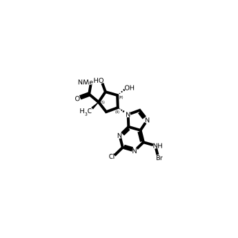 CNC(=O)[C@@]1(C)C[C@@H](n2cnc3c(NBr)nc(Cl)nc32)[C@@H](O)C1O